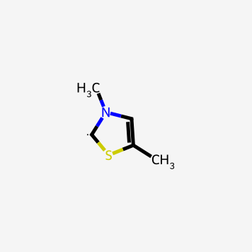 CC1=CN(C)[CH]S1